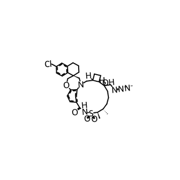 C[C@@H]1[C@@H](C)CCC[C@@](O)(CN=[N+]=[N-])[C@@H]2CC[C@H]2CN2C[C@@]3(CCCc4cc(Cl)ccc43)COc3ccc(cc32)C(=O)NS1(=O)=O